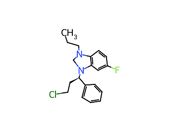 CCCN1CN([C@H](CCCl)c2ccccc2)c2cc(F)ccc21